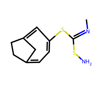 C/N=C(/SN)SC1=CC=C2CCC(=C1)C2